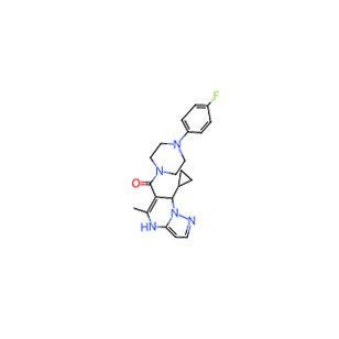 CC1=C(C(=O)N2CCN(c3ccc(F)cc3)CC2)C(C2CC2)n2nccc2N1